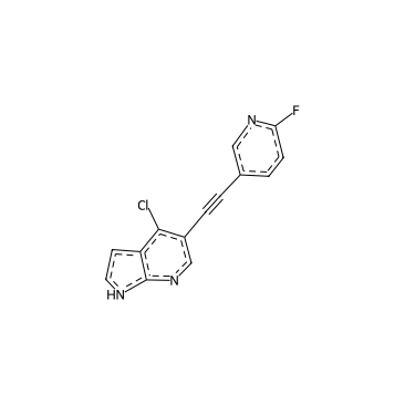 Fc1ccc(C#Cc2cnc3[nH]ccc3c2Cl)cn1